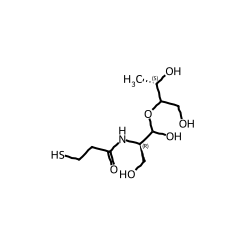 C[C@H](O)C(CO)OC(O)[C@@H](CO)NC(=O)CCS